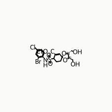 CCOC(=O)C1=CC2(CCC1S(=O)(=O)Nc1ccc(Cl)cc1Br)O[C@H](CO)[C@@H](CO)O2